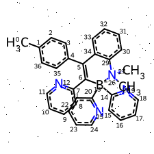 Cc1ccc(C2=C(c3ccccn3)[B-](c3ccccn3)(c3ccccn3)[N+](C)(C)c3ccccc32)cc1